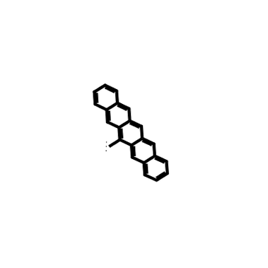 [C]c1c2cc3ccccc3cc2cc2cc3ccccc3cc12